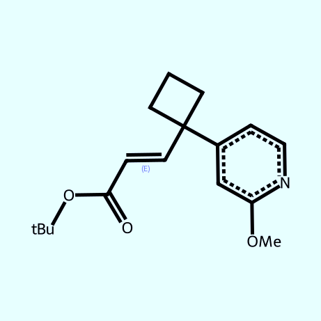 COc1cc(C2(/C=C/C(=O)OC(C)(C)C)CCC2)ccn1